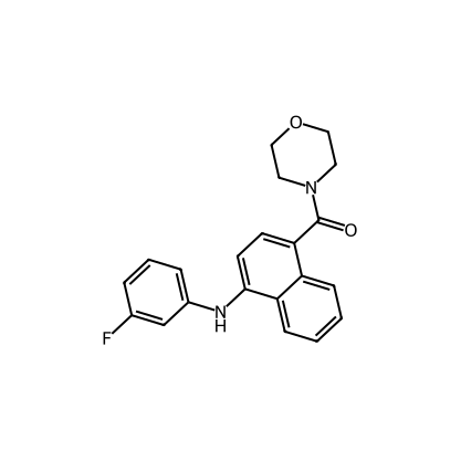 O=C(c1ccc(Nc2cccc(F)c2)c2ccccc12)N1CCOCC1